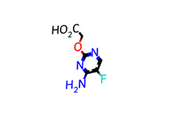 Nc1nc(OCC(=O)O)ncc1F